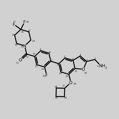 NCc1cc2cc(-c3ccc(C(=O)N4CCC(F)(F)CC4)cc3F)cc(OC3CCC3)c2o1